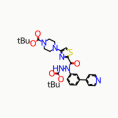 CC(C)(C)OC(=O)NN(C(=O)c1nc(N2CCN(C(=O)OC(C)(C)C)CC2)cs1)c1cccc(-c2ccncc2)c1